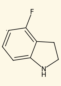 Fc1[c]ccc2c1CCN2